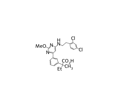 CCC(C)(C(=O)O)c1cccc(-c2cc(NCCc3ccc(Cl)cc3Cl)nc(OC)n2)c1